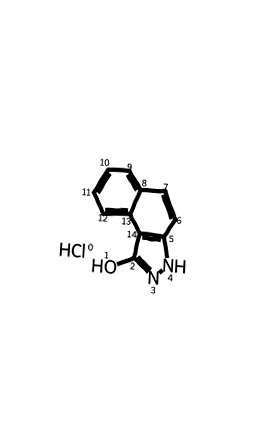 Cl.Oc1n[nH]c2ccc3ccccc3c12